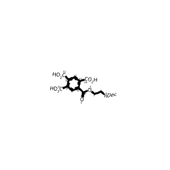 CCCCCCCCCCCCOC(=O)c1cc(C(=O)O)c(C(=O)O)cc1C(=O)O